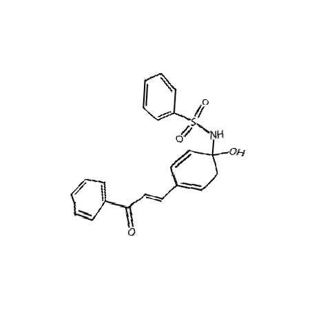 O=C(C=CC1=CCC(O)(NS(=O)(=O)c2ccccc2)C=C1)c1ccccc1